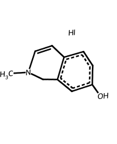 CN1C=Cc2ccc(O)cc2C1.I